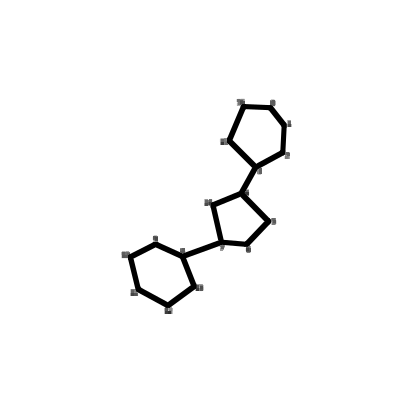 C1CCC(C2CCC(C3CCCCC3)C2)CC1